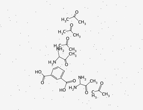 CC(=O)C(N)N.CC(=O)C(N)N.CC(C)=O.CC(C)=O.CC(C)=O.CC(C)=O.O=C(O)c1cccc(C(=O)O)c1